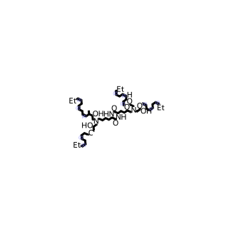 CC/C=C\C/C=C\CC=C=CC(O)CN(CCCCC1NC(=O)C(CCCCN(CC(O)O/C=C\C/C=C\C/C=C\CC)CC(O)O/C=C\C/C=C\C/C=C\CC)NC1=O)CC(O)C(C)/C=C\C/C=C\C/C=C\CC